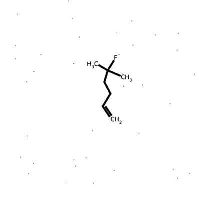 C=CCCC(C)(C)F